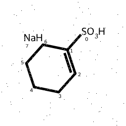 O=S(=O)(O)C1=CCCCC1.[NaH]